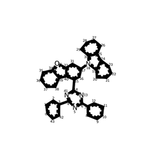 c1ccc(-c2nc(-c3ccccc3)nc(-c3cc(-n4c5ccccc5c5ccccc54)cc4oc5ccccc5c34)n2)cc1